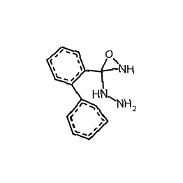 NNC1(c2ccccc2-c2ccccc2)NO1